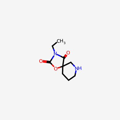 CCN1C(=O)OC2(CCCNC2)C1=O